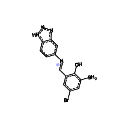 Bc1cc(Br)cc(/C=N/c2ccc3[nH]nnc3c2)c1O